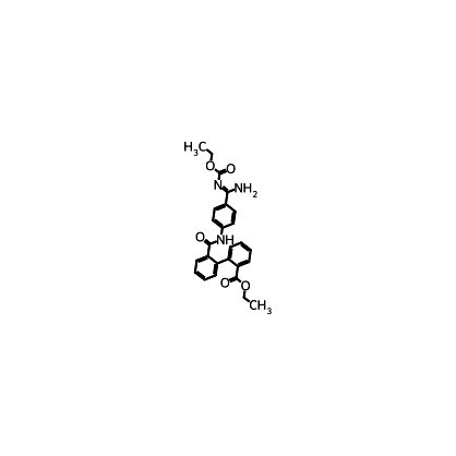 CCOC(=O)N=C(N)c1ccc(NC(=O)c2ccccc2-c2ccccc2C(=O)OCC)cc1